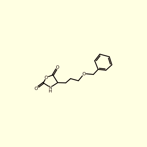 O=C1NC(CCCOCc2ccccc2)C(=O)O1